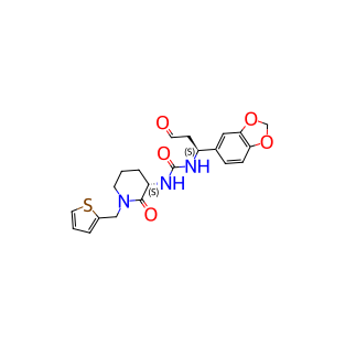 O=CC[C@H](NC(=O)N[C@H]1CCCN(Cc2cccs2)C1=O)c1ccc2c(c1)OCO2